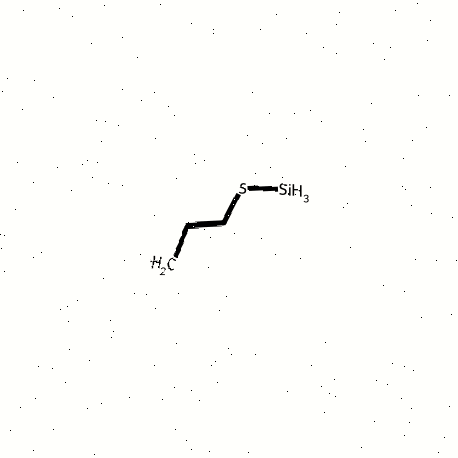 [CH2]CCS[SiH3]